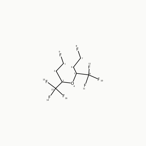 FCCC(OC(CCF)C(F)(F)F)C(F)(F)F